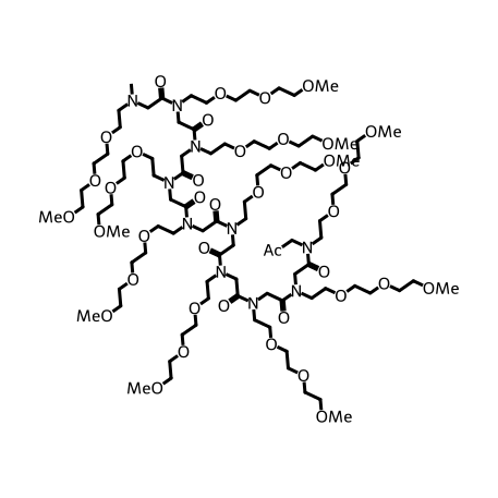 COCCOCCOCCN(C)CC(=O)N(CCOCCOCCOC)CC(=O)N(CCOCCOCCOC)CC(=O)N(CCOCCOCCOC)CC(=O)N(CCOCCOCCOC)CC(=O)N(CCOCCOCCOC)CC(=O)N(CCOCCOCCOC)CC(=O)N(CCOCCOCCOC)CC(=O)N(CCOCCOCCOC)CC(=O)N(CCOCCOCCOC)CC(C)=O